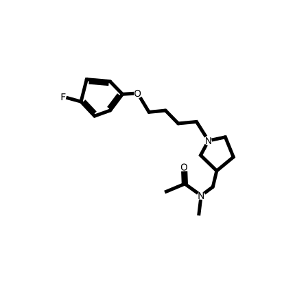 CC(=O)N(C)CC1CCN(CCCCOc2ccc(F)cc2)C1